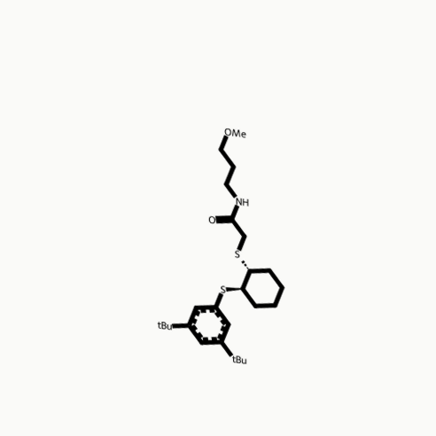 COCCCNC(=O)CS[C@@H]1CCCC[C@H]1Sc1cc(C(C)(C)C)cc(C(C)(C)C)c1